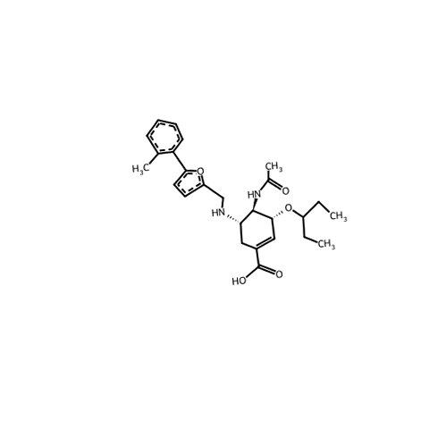 CCC(CC)O[C@@H]1C=C(C(=O)O)C[C@H](NCc2ccc(-c3ccccc3C)o2)[C@H]1NC(C)=O